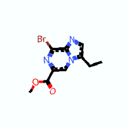 CCc1cnc2c(Br)nc(C(=O)OC)cn12